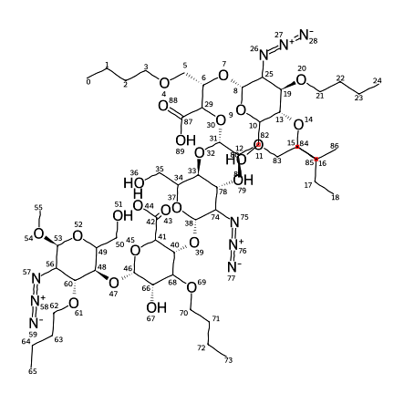 CCCCOC[C@H](O[C@H]1OC(CO)[C@@H](OCCCC)[C@H](OCCCC)C1N=[N+]=[N-])C(O[C@@H](O[C@@H]1C(CO)O[C@@H](O[C@H]2C(C(=O)O)O[C@@H](O[C@@H]3C(CO)O[C@H](OC)C(N=[N+]=[N-])[C@H]3OCCCC)[C@@H](O)C2OCCCC)C(N=[N+]=[N-])[C@H]1O)[C@H](C)OCCCC)C(=O)O